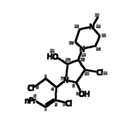 CCC/C=C(/Cl)C(CCl)N1C(O)C(Cl)C(N2CCN(C)CC2)C1O